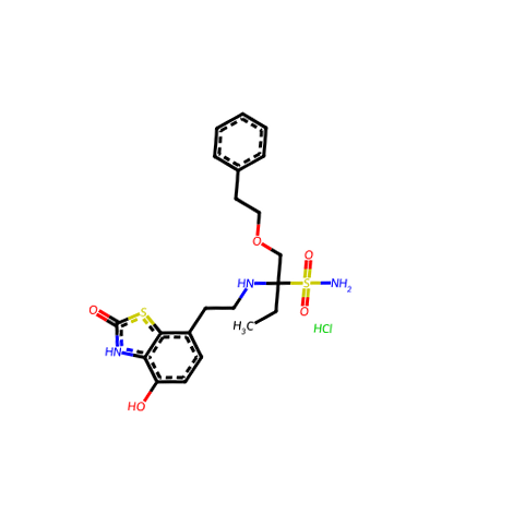 CCC(COCCc1ccccc1)(NCCc1ccc(O)c2[nH]c(=O)sc12)S(N)(=O)=O.Cl